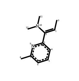 CC=C(c1cccc(C)n1)N(C)C